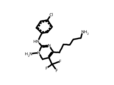 NCCCCCC1=C(C(F)(F)F)CN(N)C(Nc2ccc(Cl)cc2)=N1